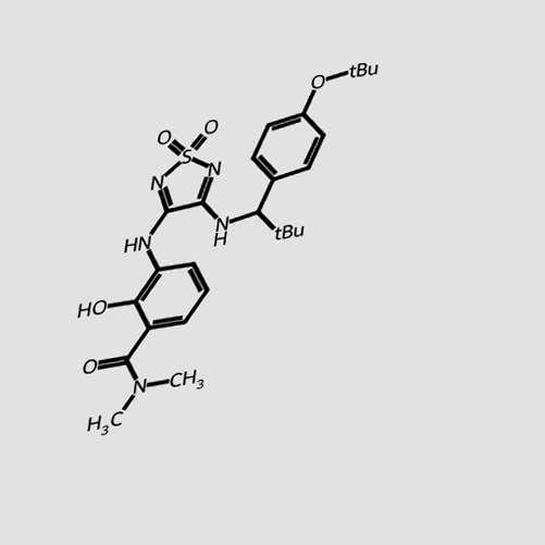 CN(C)C(=O)c1cccc(NC2=NS(=O)(=O)N=C2NC(c2ccc(OC(C)(C)C)cc2)C(C)(C)C)c1O